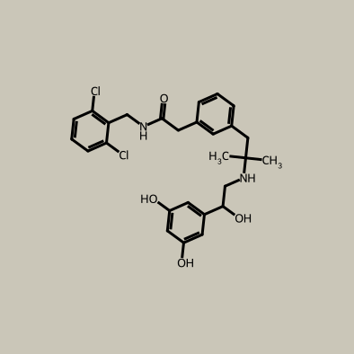 CC(C)(Cc1cccc(CC(=O)NCc2c(Cl)cccc2Cl)c1)NCC(O)c1cc(O)cc(O)c1